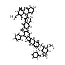 Cc1ccccc1N(c1ccc2cc3c(cc2c1)oc1c(-c2ccccc2)c2oc4cc5cc(N(c6ccccc6C)c6cccc(C)c6C)ccc5cc4c2cc13)c1cccc(C)c1C